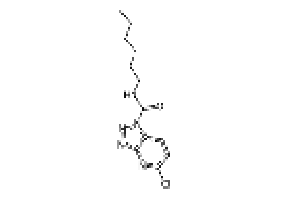 CCCCCCNC(=O)n1nnc2nc(Cl)ccc21